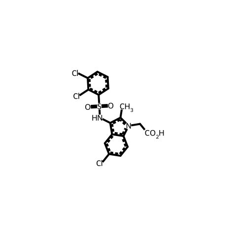 Cc1c(NS(=O)(=O)c2cccc(Cl)c2Cl)c2cc(Cl)ccc2n1CC(=O)O